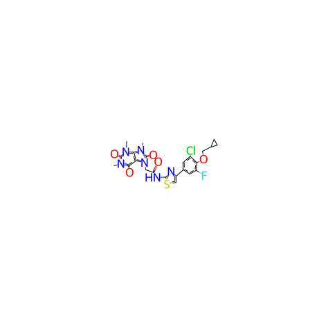 Cn1c(=O)c2c(n(C)c1=O)n(C)c(=O)n2CC(=O)Nc1nc(-c2cc(F)c(OCC3CC3)c(Cl)c2)cs1